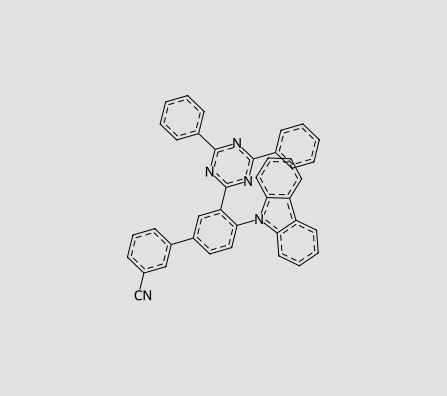 N#Cc1cccc(-c2ccc(-n3c4ccccc4c4ccccc43)c(-c3nc(-c4ccccc4)nc(-c4ccccc4)n3)c2)c1